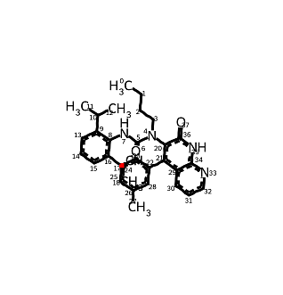 CCCCN(C(=O)Nc1c(C(C)C)cccc1C(C)C)c1c(-c2cccc(C)c2)c2cccnc2[nH]c1=O